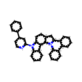 c1ccc(-c2ccnc(-n3c4ccccc4c4c3ccc3cc5c6ccccc6c6ccccc6n5c34)c2)cc1